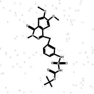 COc1cc2c(Cc3cccc(NS(=O)(=O)NC(=O)OC(C)(C)C)c3)nn(C)c(=O)c2cc1OC